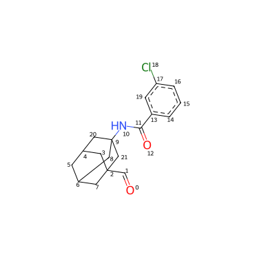 O=CC12CC3CC(C1)CC(NC(=O)c1cccc(Cl)c1)(C3)C2